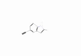 C#Cc1ccc2[nH]c(C(=O)OCC)cc2c1